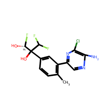 Cc1ccc(C(O)(C(F)F)[C@H](O)F)cc1-c1cnc(N)c(Cl)n1